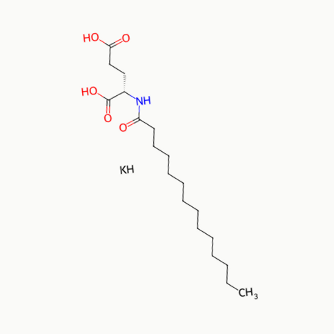 CCCCCCCCCCCCCC(=O)N[C@@H](CCC(=O)O)C(=O)O.[KH]